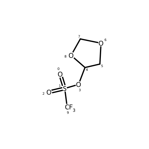 O=S(=O)(OC1COCO1)C(F)(F)F